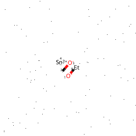 CC[O-].C[O-].[Sn+2]